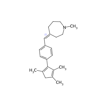 CC1=C(C)C(c2ccc(/C=C3/CCCN(C)CC3)cc2)=C(C)C1